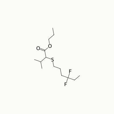 CCCOC(=O)C(SCCCC(F)(F)CC)C(C)C